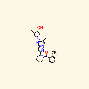 Cc1cn2nc([C@@H]3CCCCN3C(=O)c3ccccc3C(F)(F)F)cc2nc1N1C[C@@H](C)[C@@H](O)C1